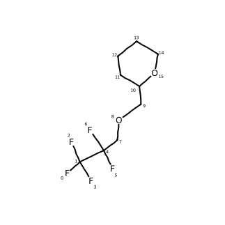 FC(F)(F)C(F)(F)COCC1CCCCO1